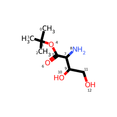 CC(C)(C)OC(=O)C(N)C(O)CO